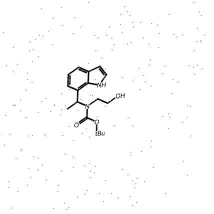 CC(c1cccc2cc[nH]c12)N(CCO)C(=O)OC(C)(C)C